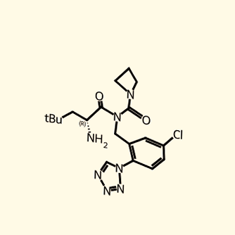 CC(C)(C)C[C@@H](N)C(=O)N(Cc1cc(Cl)ccc1-n1cnnn1)C(=O)N1CCC1